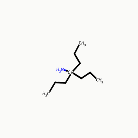 CC[CH2][Ge]([NH2])([CH2]CC)[CH2]CC